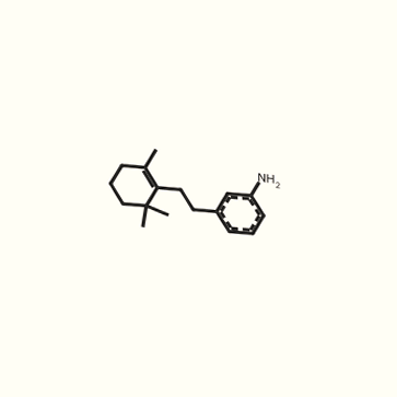 CC1=C(CCc2cccc(N)c2)C(C)(C)CCC1